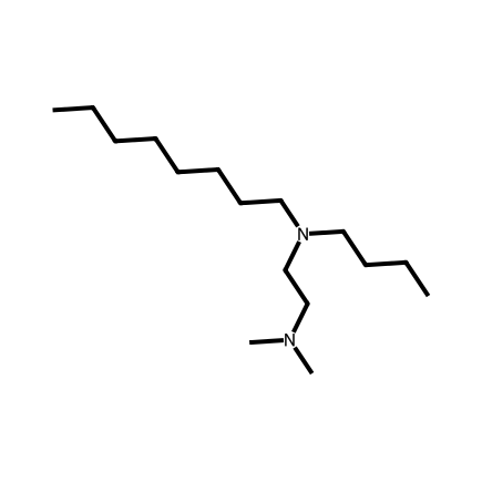 CCCCCCCCN(CCCC)CCN(C)C